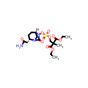 CCOC(=O)C(C)(COS(=O)(=O)ON1C(=O)N2C[C@H]1CC[C@H]2CC(N)=O)C(=O)OCC